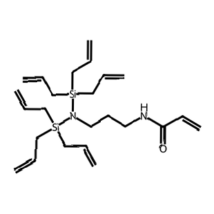 C=CC[Si](CC=C)(CC=C)N(CCCNC(=O)C=C)[Si](CC=C)(CC=C)CC=C